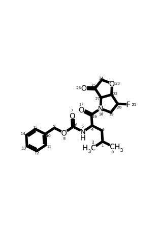 CC(C)CC(NC(=O)OCc1ccccc1)C(=O)N1CC(F)C2OCC(=O)C21